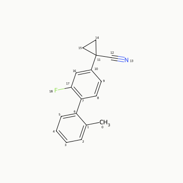 Cc1ccccc1-c1ccc(C2(C#N)CC2)cc1F